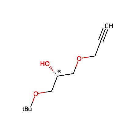 C#CCOC[C@@H](O)COC(C)(C)C